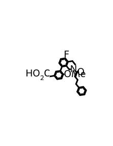 COc1ccc(CC(=O)O)cc1-c1ccc(F)c2c1CN(C(=O)CCCc1ccccc1)CC2